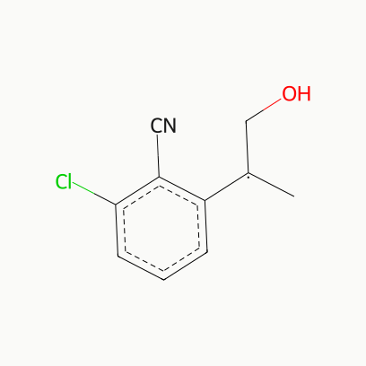 C[C](CO)c1cccc(Cl)c1C#N